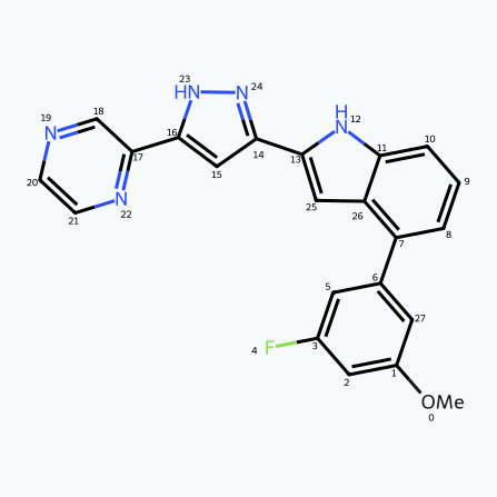 COc1cc(F)cc(-c2cccc3[nH]c(-c4cc(-c5cnccn5)[nH]n4)cc23)c1